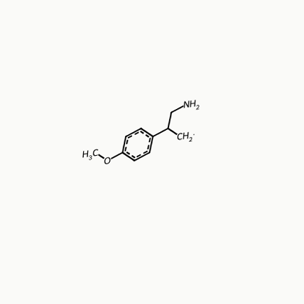 [CH2]C(CN)c1ccc(OC)cc1